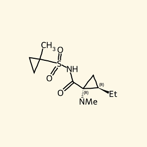 CC[C@@H]1C[C@]1(NC)C(=O)NS(=O)(=O)C1(C)CC1